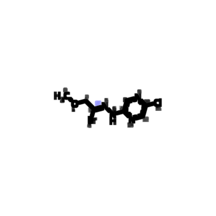 COC/C(Br)=N/Nc1cnc(Cl)cn1